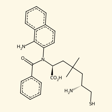 CC(C)(C[C@@H](N)CS)C[C@@H](C(=O)O)N(C(=O)c1ccccc1)c1ccc2ccccc2c1N